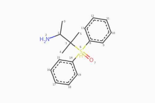 CC(N)C(C)(C)[SH](=O)(c1ccccc1)c1ccccc1